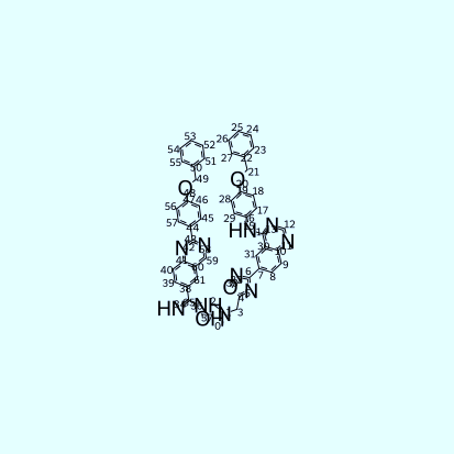 CN(C)Cc1nc(-c2ccc3ncnc(Nc4ccc(OCc5ccccc5)cc4)c3c2)no1.N=C(NO)c1ccc2nc(-c3ccc(OCc4ccccc4)cc3)ncc2c1